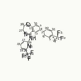 FC(F)(F)C1=CCC(c2ccc3c(c2)C(Nc2cccc(C(F)(F)F)n2)=NCCO3)C=C1